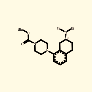 CCN(CC)[C@H]1CCc2cccc(N3CCN(C(=O)OC(C)(C)C)CC3)c2C1